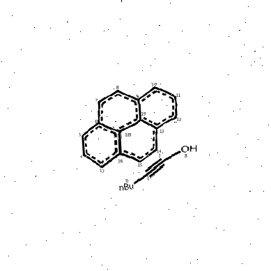 CCCCC#CO.c1cc2ccc3cccc4ccc(c1)c2c34